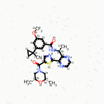 C[C@@H]1CN(C(=O)c2cnc(-c3nccnc3[C@H](C)NC(=O)c3cc(OC(F)(F)F)cc(C4(C#N)CC4)c3)s2)C[C@H](C)O1